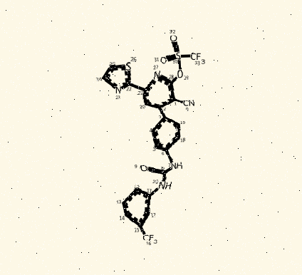 N#Cc1c(-c2ccc(NC(=O)Nc3cccc(C(F)(F)F)c3)cc2)cc(-c2nccs2)nc1OS(=O)(=O)C(F)(F)F